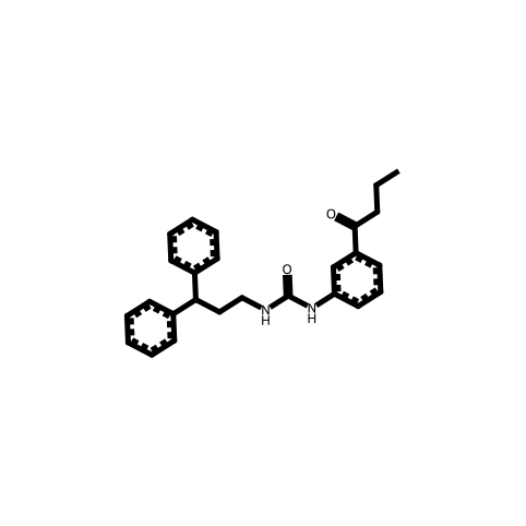 CCCC(=O)c1cccc(NC(=O)NCCC(c2ccccc2)c2ccccc2)c1